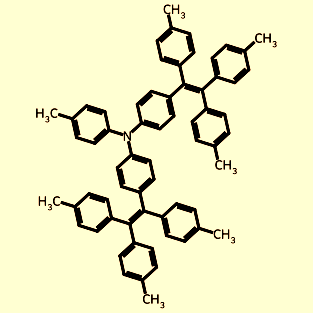 Cc1ccc(C(=C(c2ccc(C)cc2)c2ccc(N(c3ccc(C)cc3)c3ccc(C(=C(c4ccc(C)cc4)c4ccc(C)cc4)c4ccc(C)cc4)cc3)cc2)c2ccc(C)cc2)cc1